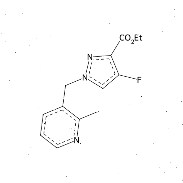 CCOC(=O)c1nn(Cc2cccnc2C)cc1F